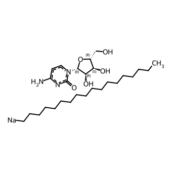 CCCCCCCCCCCCCCCCC[CH2][Na].Nc1ccn([C@@H]2O[C@H](CO)[C@@H](O)[C@H]2O)c(=O)n1